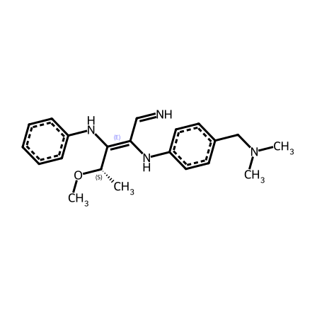 CO[C@@H](C)/C(Nc1ccccc1)=C(/C=N)Nc1ccc(CN(C)C)cc1